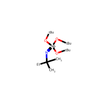 CCC(C)(C)[N]=[Nb]([O]C(C)(C)C)([O]C(C)(C)C)[O]C(C)(C)C